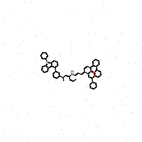 C/C=C\C(=C/C(C)c1cccc(-c2cccc3c2c2ccccc2n3-c2ccccc2)c1)N/C=C/C=C(\C=C/c1cc2ccccc2c2ccccc12)c1cccc(-c2ccccc2)c1